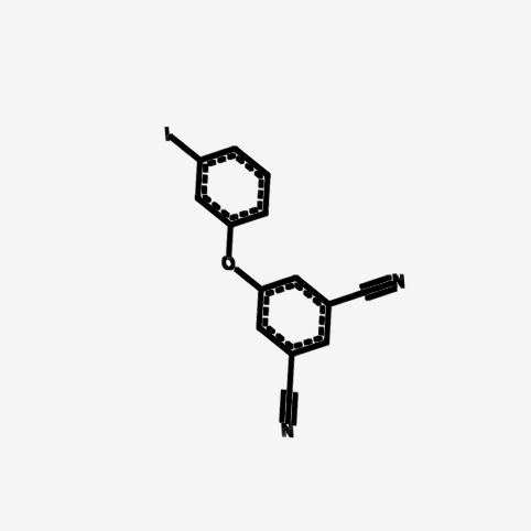 N#Cc1cc(C#N)cc(Oc2cccc(I)c2)c1